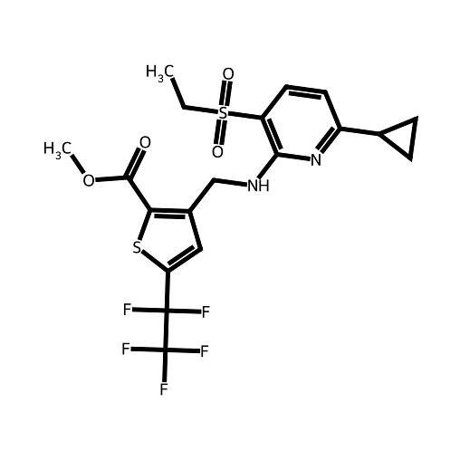 CCS(=O)(=O)c1ccc(C2CC2)nc1NCc1cc(C(F)(F)C(F)(F)F)sc1C(=O)OC